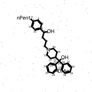 CCCCCc1ccc(C(O)CCCN2CCC(C(O)(c3ccccc3)c3ccccc3OC)CC2)cc1